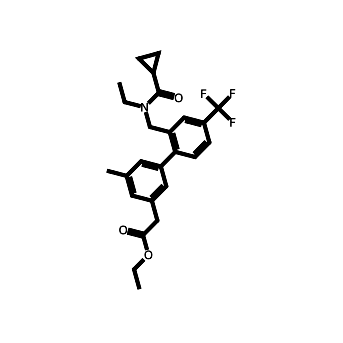 CCOC(=O)Cc1cc(C)cc(-c2ccc(C(F)(F)F)cc2CN(CC)C(=O)C2CC2)c1